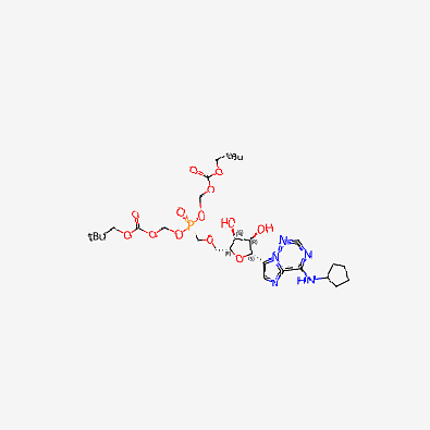 CC(C)(C)COC(=O)OCOP(=O)(COC[C@H]1O[C@@H](c2cnc3c(NC4CCCC4)ncnn23)[C@H](O)[C@@H]1O)OCOC(=O)OCC(C)(C)C